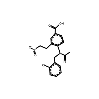 CC(=O)N(Cc1ccccc1Cl)c1ccc(C(=O)O)cc1CC[N+](=O)[O-]